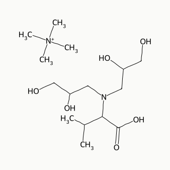 CC(C)C(C(=O)O)N(CC(O)CO)CC(O)CO.C[N+](C)(C)C